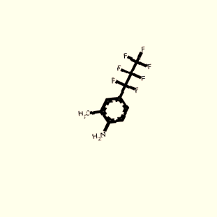 Cc1cc(C(F)(F)C(F)(F)C(F)(F)F)ccc1N